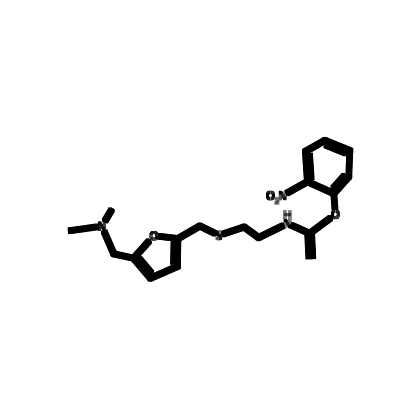 C=C(NCCSCc1ccc(CN(C)C)o1)Oc1ccccc1[N+](=O)[O-]